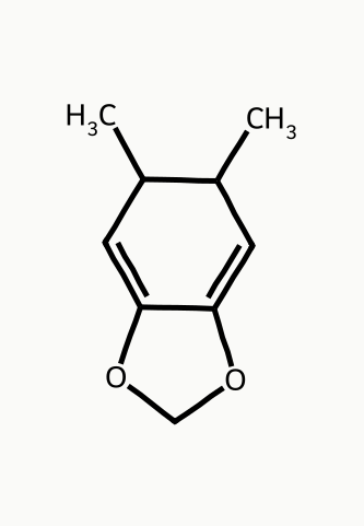 CC1C=C2OCOC2=CC1C